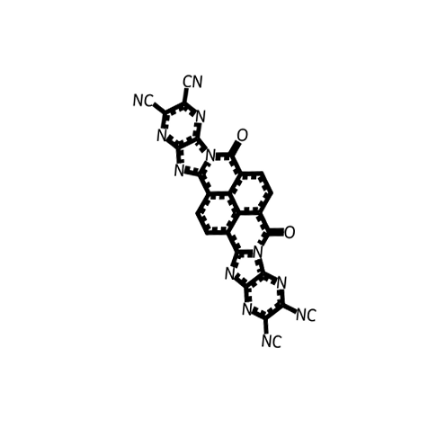 [C-]#[N+]c1nc2nc3c4ccc5c6c(ccc(c(=O)n3c2nc1[N+]#[C-])c46)c(=O)n1c2nc(C#N)c(C#N)nc2nc51